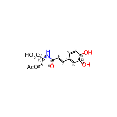 CC(=O)OC[C@H](NC(=O)C=Cc1ccc(O)c(O)c1)C(=O)O